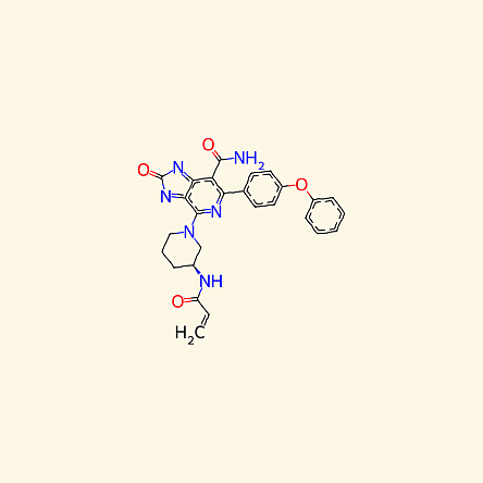 C=CC(=O)N[C@H]1CCCN(c2nc(-c3ccc(Oc4ccccc4)cc3)c(C(N)=O)c3c2=NC(=O)N=3)C1